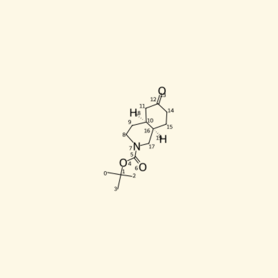 CC(C)(C)OC(=O)N1CC[C@H]2CC(=O)CC[C@H]2C1